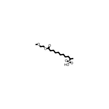 COCCOC(=O)CCCCCCCCC(C)S(=O)(=O)O